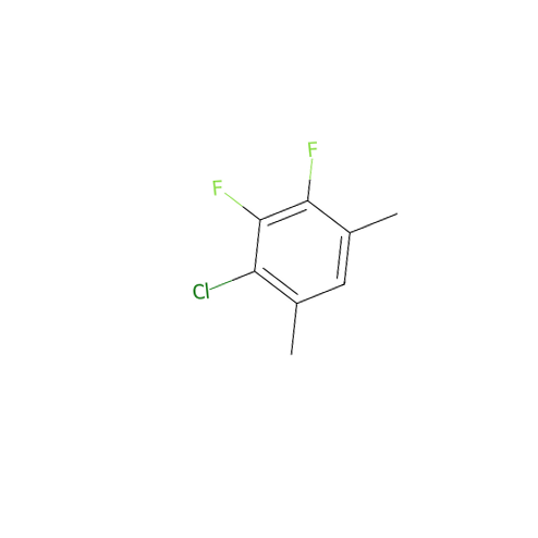 Cc1cc(C)c(Cl)c(F)c1F